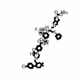 CC1(C)CCC(c2ccc(Cl)cc2)=C(CN2CCN3c4ccc(C(=O)NS(=O)(=O)c5ccc(N[C@H](CCN6CC7CN(C(=O)OC(C)(C)C)CC7C6)CSc6ccccc6)c(S(=O)(=O)C(F)(F)F)c5)cc4OC[C@@H]3C2)C1